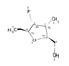 C[C@H]1[C@@H](F)[C@H](C)O[C@@H]1CO